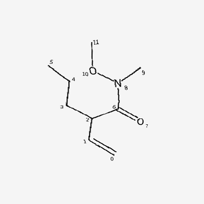 C=CC(CCC)C(=O)N(C)OC